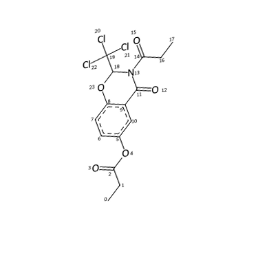 CCC(=O)Oc1ccc2c(c1)C(=O)N(C(=O)CC)C(C(Cl)(Cl)Cl)O2